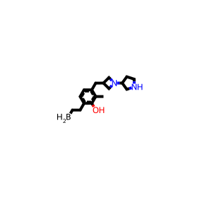 BCCc1ccc(CC2CN(C3CCNC3)C2)c(C)c1O